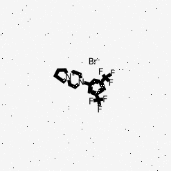 FC(F)(F)c1cc(N2CC[N+]3(CCCC3)CC2)cc(C(F)(F)F)c1.[Br-]